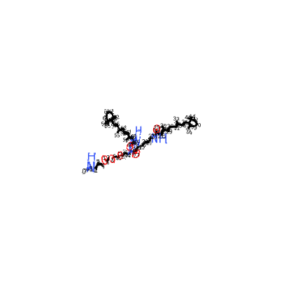 CNCCCOCCOCCOCCCNC(=O)[C@H](CCCCNC(=O)/C=C(C)/C=C/C=C(C)/C=C/C1=C(C)CCCC1(C)C)NC(=O)/C=C(C)/C=C/C=C(C)/C=C/C1=C(C)CCCC1(C)C